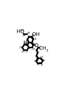 CC(CCCc1ccccc1)OC1=C2C=C(O)[C@@H](CCO)CC2[C@H]2CCCCC2C1